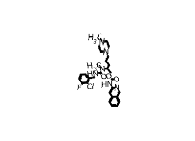 CN1CCN(CCCC(COC(=O)Nc2cc3ccccc3cn2)N(C)C(=O)NCc2cccc(F)c2Cl)CC1